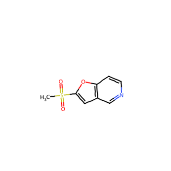 CS(=O)(=O)c1cc2cnccc2o1